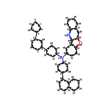 c1ccc(-c2cccc(-c3ccc(N(c4ccc(-c5cccc6ccccc56)cc4)c4ccc5oc6cc7ccccc7nc6c5c4)cc3)c2)cc1